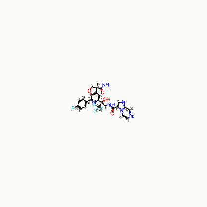 C[C@]1(C(N)=O)COc2c1cc(C(O)(CNC(=O)c1cnc3cnccn13)C(F)(F)F)nc2-c1ccc(F)cc1